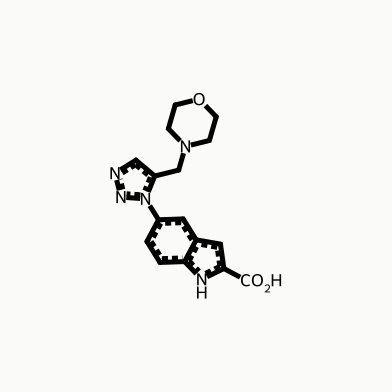 O=C(O)c1cc2cc(-n3nncc3CN3CCOCC3)ccc2[nH]1